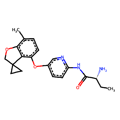 CC[C@@H](N)C(=O)Nc1ccc(Oc2ccc(C)c3c2C2(CC2)CO3)cn1